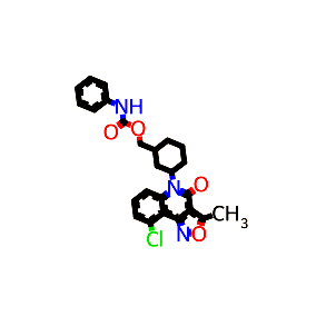 Cc1onc2c1c(=O)n(C1CCCC(COC(=O)Nc3ccccc3)C1)c1cccc(Cl)c21